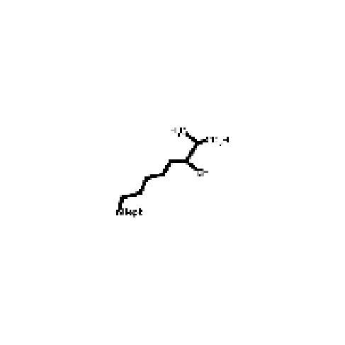 CCCCCCCCCCCCC(O)[C](C)C(=O)O